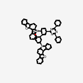 N#Cc1ccc(-n2c3ccccc3c3c4oc5ccccc5c4ccc32)cc1-c1cc(-c2nc(-c3ccccc3)nc(-c3ccccc3)n2)ccc1-n1c2ccccc2c2c3oc4ccccc4c3ccc21